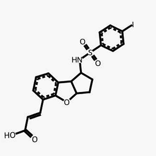 O=C(O)C=Cc1cccc2c1OC1CCC(NS(=O)(=O)c3ccc(I)cc3)C21